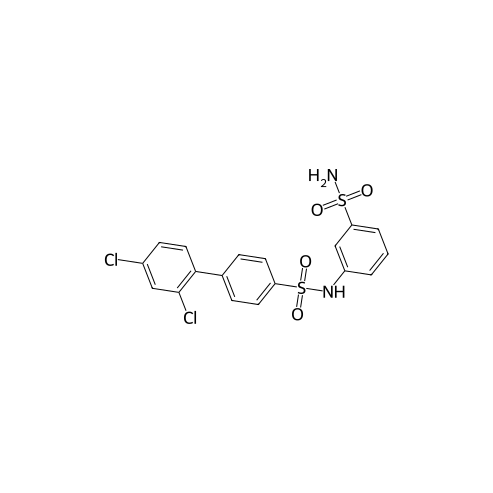 NS(=O)(=O)c1cccc(NS(=O)(=O)c2ccc(-c3ccc(Cl)cc3Cl)cc2)c1